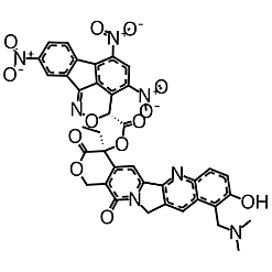 CC[C@@]1(OC(=O)[C@@H]2ON=C3c4cc([N+](=O)[O-])ccc4-c4c([N+](=O)[O-])cc([N+](=O)[O-])c2c43)C(=O)OCc2c1cc1n(c2=O)Cc2cc3c(CN(C)C)c(O)ccc3nc2-1